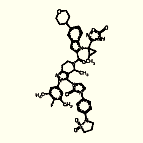 Cc1cc(-n2nc3c(c2-n2ccn(-c4ccc(N5CCCS5(=O)=O)cc4)c2=O)C(C)N(C(=O)c2cc4cc(C5CCOCC5)ccc4n2C2(c4noc(=O)[nH]4)CC2C)CC3)cc(C)c1F